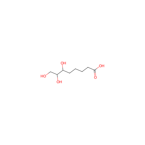 O=C(O)CCCCC(O)C(O)CO